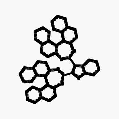 c1ccc2c(c1)ccc1op(-c3sc4ccccc4c3-p3oc4ccc5ccccc5c4c4c(ccc5ccccc54)o3)oc3ccc4ccccc4c3c12